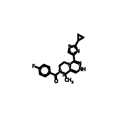 C[C@@H]1C2=CNN=C(c3csc(C4CC4)n3)N2CCN1C(=O)c1ccc(F)cc1